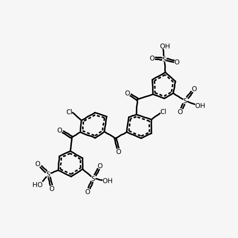 O=C(c1ccc(Cl)c(C(=O)c2cc(S(=O)(=O)O)cc(S(=O)(=O)O)c2)c1)c1ccc(Cl)c(C(=O)c2cc(S(=O)(=O)O)cc(S(=O)(=O)O)c2)c1